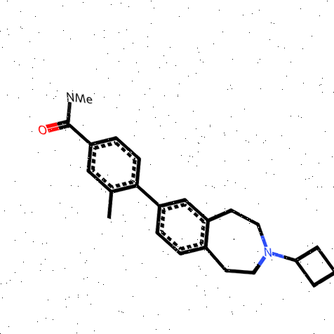 CNC(=O)c1ccc(-c2ccc3c(c2)CCN(C2CCC2)CC3)c(C)c1